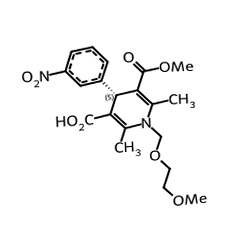 COCCOCN1C(C)=C(C(=O)O)[C@H](c2cccc([N+](=O)[O-])c2)C(C(=O)OC)=C1C